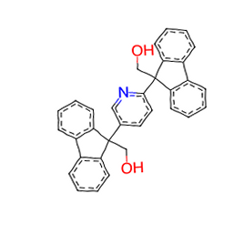 OCC1(c2ccc(C3(CO)c4ccccc4-c4ccccc43)nc2)c2ccccc2-c2ccccc21